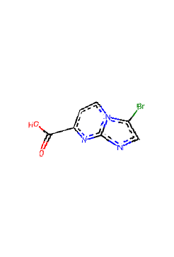 O=C(O)c1ccn2c(Br)cnc2n1